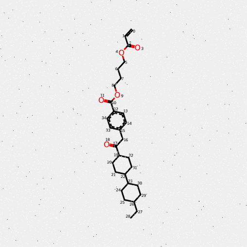 C=CC(=O)OCCCCOC(=O)c1ccc(CC(=O)C2CCC(C3CCC(CC)CC3)CC2)cc1